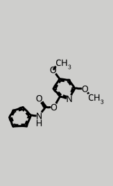 COc1cc(OC)nc(OC(=O)Nc2ccccc2)c1